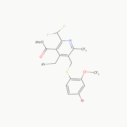 COC(=O)c1c(C(F)F)nc(C(F)(F)F)c(CSc2ccc(Br)cc2OC(F)(F)F)c1CC(C)C